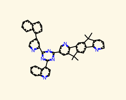 CC1(C)c2cc3c(cc2-c2ncccc21)C(C)(C)c1cc(-c2nc(-c4cc(-c5cccc6ccccc56)ccn4)nc(-c4ccnc5ccccc45)n2)cnc1-3